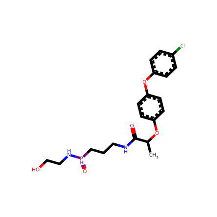 CC(Oc1ccc(Oc2ccc(Cl)cc2)cc1)C(=O)NCCC[PH](=O)NCCO